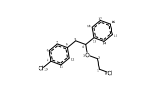 ClCCOC(Cc1ccc(Cl)cc1)c1ccccc1